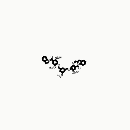 CNc1cc(OCc2cc(N)cc(COc3cc4c(cc3OC)C(=O)N3c5ccccc5CC3C=N4)c2)c(OC)cc1C(=O)N1CCc2ccccc21